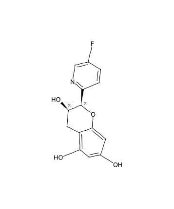 Oc1cc(O)c2c(c1)O[C@H](c1ccc(F)cn1)[C@H](O)C2